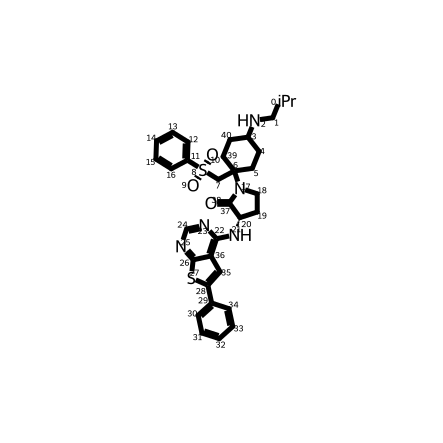 CC(C)CNC1CCC(CS(=O)(=O)c2ccccc2)(N2CC[C@H](Nc3ncnc4sc(-c5ccccc5)cc34)C2=O)CC1